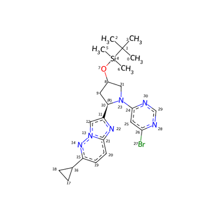 CC(C)(C)[Si](C)(C)OC1C[C@H](c2cn3nc(C4CC4)ccc3n2)N(c2cc(Br)ncn2)C1